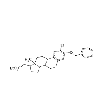 CCOC(=O)CC1CCC2C3CCc4cc(OCc5ccccc5)c(CC)cc4C3CCC12C